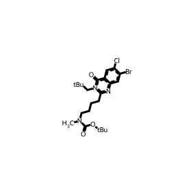 CN(CCCCc1nc2cc(Br)c(Cl)cc2c(=O)n1CC(C)(C)C)C(=O)OC(C)(C)C